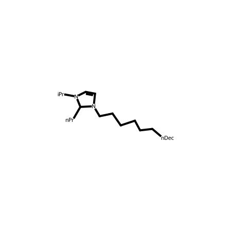 CCCCCCCCCCCCCCCCN1C=CN(C(C)C)C1CCC